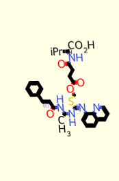 CC(NC(=O)/C=C/c1ccccc1)N/C(=N\c1cccc2cccnc12)SCOC(=O)CCC(=O)N[C@H](C(=O)O)C(C)C